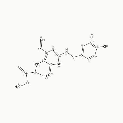 COC(=O)C(C)Nc1c(C=N)nc(NCc2ccc(Cl)c(Cl)c2)[nH]c1=O